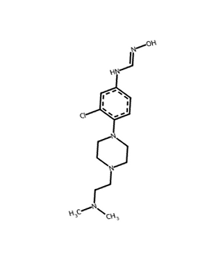 CN(C)CCN1CCN(c2ccc(N/C=N/O)cc2Cl)CC1